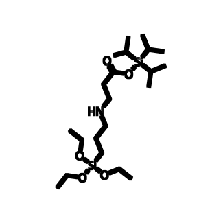 CCO[Si](CCCNCCC(=O)O[Si](C(C)C)(C(C)C)C(C)C)(OCC)OCC